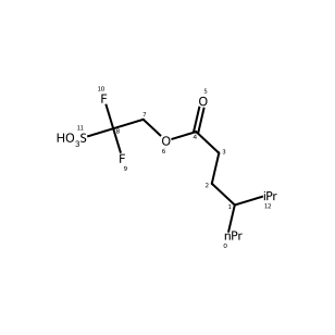 CCCC(CCC(=O)OCC(F)(F)S(=O)(=O)O)C(C)C